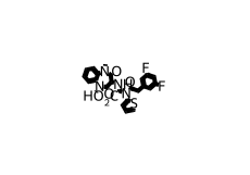 CN1C(=O)C(NC(C(=O)O)N(C(=O)Cc2cc(F)cc(F)c2)c2cccs2)C(=O)N(C)c2ccccc21